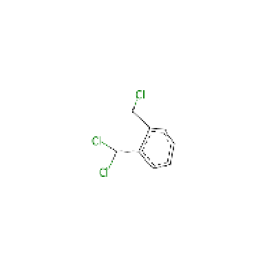 ClCc1ccccc1C(Cl)Cl